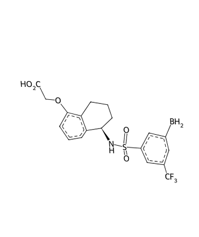 Bc1cc(C(F)(F)F)cc(S(=O)(=O)N[C@@H]2CCCc3c(OCC(=O)O)cccc32)c1